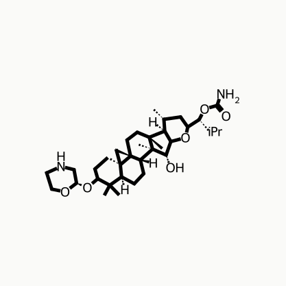 CC(C)[C@@H](OC(N)=O)C1C[C@@H](C)[C@H]2C(O1)[C@H](O)[C@@]1(C)[C@@H]3CC[C@H]4C(C)(C)C(O[C@H]5CNCCO5)CC[C@@]45C[C@@]35CC[C@]21C